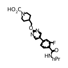 CCCNC(=O)c1ccc(-c2cnc(OCC3CCN(C(=O)O)CC3)nc2)cc1F